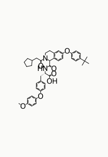 COc1ccc(Oc2ccc(C[C@H](NC(=O)C3c4ccc(Oc5ccc(C(C)(C)C)cc5)cc4CCN3C(=O)CC3CCCC3)C(=O)O)cc2)cc1